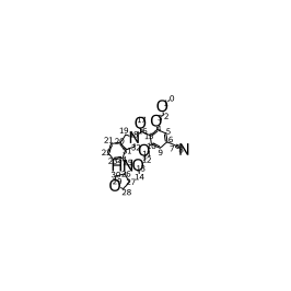 COCOc1cc(C#N)cc(OCOC)c1C(=O)N1Cc2cccc(N[C@H]3CCOC3)c2C1